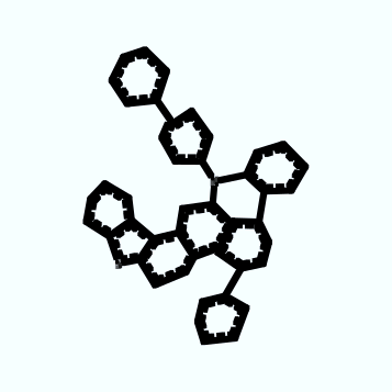 c1ccc(-c2ccc(-c3ccccc3N(c3ccc(-c4ccccc4)cc3)c3ccc4ccc5sc6ccccc6c5c4c3)cc2)cc1